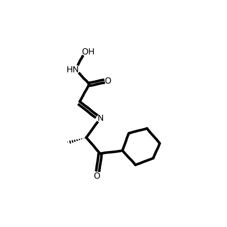 [CH2][C@H](N=CC(=O)NO)C(=O)C1CCCCC1